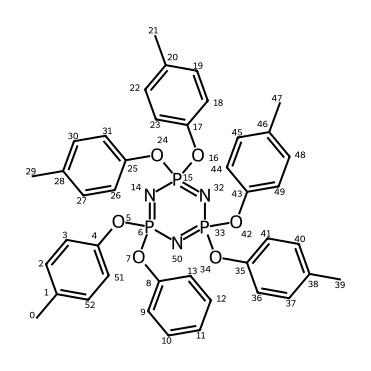 Cc1ccc(OP2(Oc3ccccc3)=NP(Oc3ccc(C)cc3)(Oc3ccc(C)cc3)=NP(Oc3ccc(C)cc3)(Oc3ccc(C)cc3)=N2)cc1